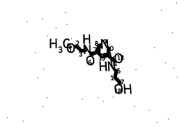 COCCNC(=O)c1cncc(C(=O)NCCCO)c1